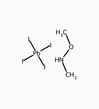 CNOC.[I][Pb]([I])([I])[I]